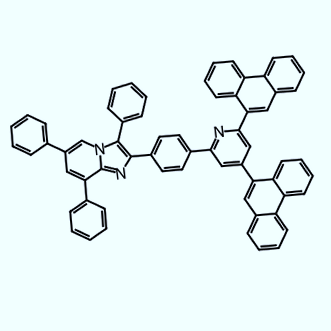 c1ccc(-c2cc(-c3ccccc3)c3nc(-c4ccc(-c5cc(-c6cc7ccccc7c7ccccc67)cc(-c6cc7ccccc7c7ccccc67)n5)cc4)c(-c4ccccc4)n3c2)cc1